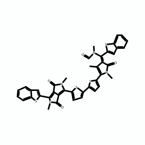 CC1=C(c2ccc(-c3ccc(C4=C5C(=O)N(C)C(c6cc7ccccc7s6)=C5C(=O)N4C)s3)s2)N(C)C(=O)/C1=C(\c1cc2ccccc2s1)N(C)C=O